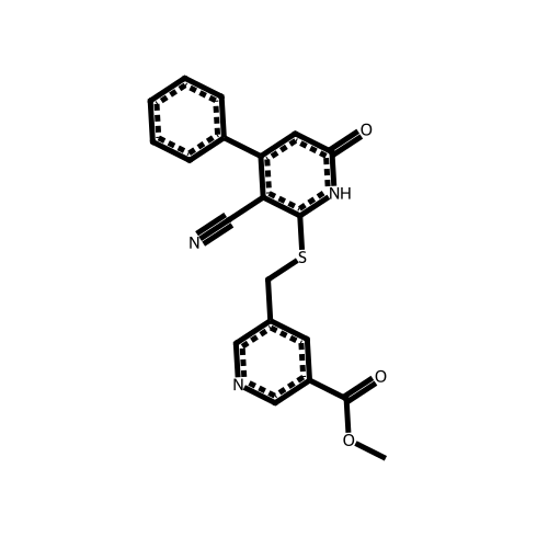 COC(=O)c1cncc(CSc2[nH]c(=O)cc(-c3ccccc3)c2C#N)c1